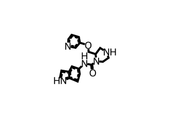 O=C(Nc1ccc2[nH]ccc2c1)N1CCNCC1COc1cccnc1